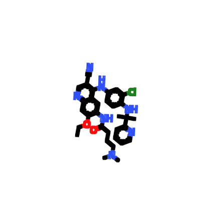 CCOc1cc2ncc(C#N)c(Nc3ccc(NC(C)(C)c4ccccn4)c(Cl)c3)c2cc1NC(=O)CCCN(C)C